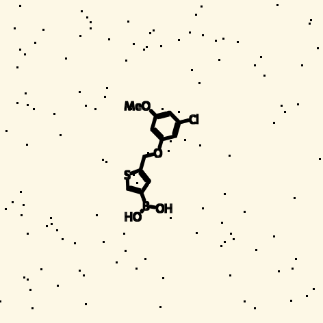 COc1cc(Cl)cc(OCc2cc(B(O)O)cs2)c1